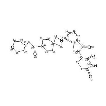 O=C1CCC(N2Cc3c(cccc3N3CC4(CCN(C(=O)CN5CCOCC5)CC4)C3)C2=O)C(=O)N1